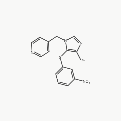 CC(C)c1n[c]n(Cc2ccncc2)c1Sc1cccc([N+](=O)[O-])c1